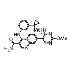 COc1ncc(-c2ccc3c(Nc4cccc(C5(C(=O)O)CC5)c4)c(C(N)=O)cnc3c2)c(OC)n1